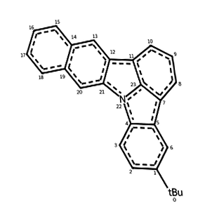 CC(C)(C)c1ccc2c(c1)c1cccc3c4cc5ccccc5cc4n2c13